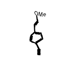 C#Cc1ccc(C=COC)cc1